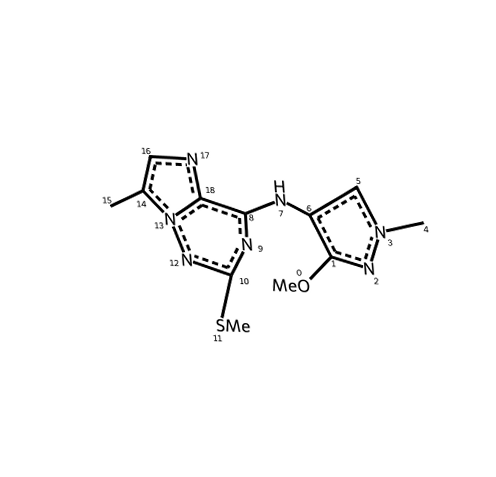 COc1nn(C)cc1Nc1nc(SC)nn2c(C)cnc12